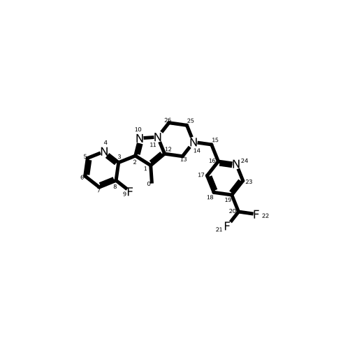 Cc1c(-c2ncccc2F)nn2c1CN(Cc1ccc(C(F)F)cn1)CC2